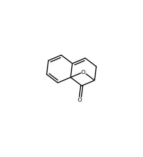 O=C1C2CC=C3C=CC=CC13O2